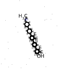 C/C=C/C1CCC(C2CCC(c3ccc(-c4ccc(-c5ccc(O)c(F)c5F)cc4)c(F)c3F)CC2)CC1